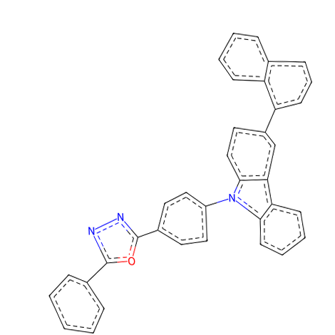 c1ccc(-c2nnc(-c3ccc(-n4c5ccccc5c5cc(-c6cccc7ccccc67)ccc54)cc3)o2)cc1